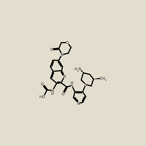 C[C@@H]1C[C@H](N)CN(c2ccncc2NC(=O)c2nc3cc(N4CCOCC4=O)ccc3cc2NC(=O)O)C1